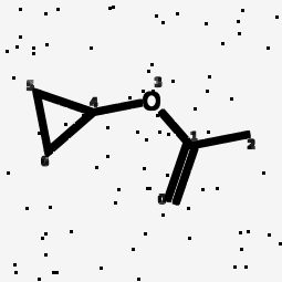 C=C(C)OC1CC1